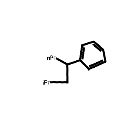 [CH2]CCC(CC(C)C)c1ccccc1